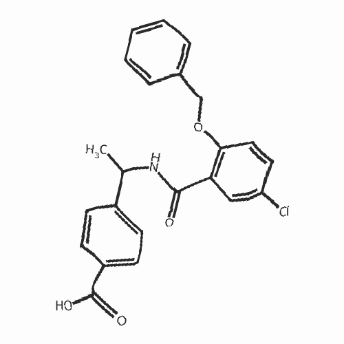 CC(NC(=O)c1cc(Cl)ccc1OCc1ccccc1)c1ccc(C(=O)O)cc1